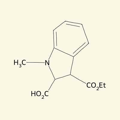 CCOC(=O)C1c2ccccc2N(C)C1C(=O)O